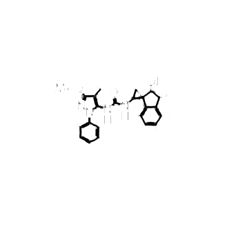 COc1nn(-c2ccccc2)c(NC(=O)NC2C[C@@]23c2ccccc2C[C@H]3O)c1C